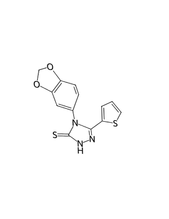 S=c1[nH]nc(-c2cccs2)n1-c1ccc2c(c1)OCO2